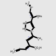 C=C/C=C(\C=C(/C)N1C=C(/C(=C/N=C)NC)NN1)C(=O)O